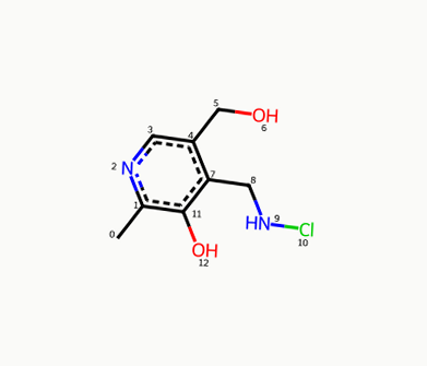 Cc1ncc(CO)c(CNCl)c1O